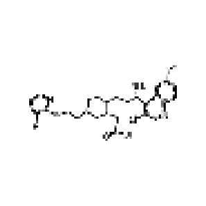 COc1ccc2ncc(Cl)c([C@@H](N)CC[C@@H]3CCN(CCSc4ncccc4F)C[C@@H]3CC(=O)O)c2c1